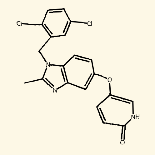 Cc1nc2cc(Oc3ccc(=O)[nH]c3)ccc2n1Cc1cc(Cl)ccc1Cl